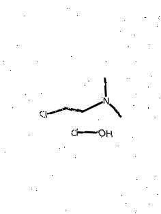 CN(C)CCCl.OCl